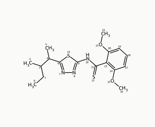 CCC(C)C(C)c1nnc(NC(=S)c2c(OC)cccc2OC)s1